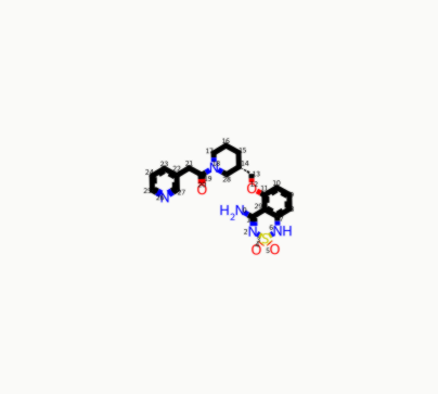 NC1=NS(=O)(=O)Nc2cccc(OC[C@H]3CCCN(C(=O)Cc4cccnc4)C3)c21